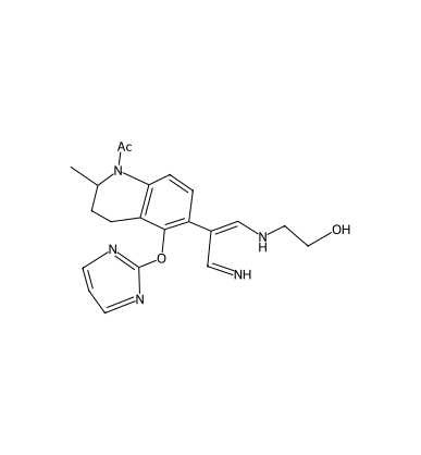 CC(=O)N1c2ccc(/C(C=N)=C/NCCO)c(Oc3ncccn3)c2CCC1C